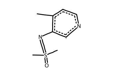 Cc1ccn[c]c1N=S(C)(C)=O